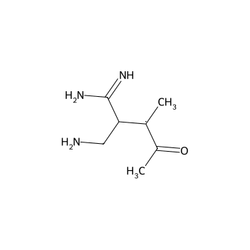 C[C](C(C)=O)C(CN)C(=N)N